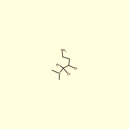 CCC(CCN)C(CC)(C(C)C)N(C)C